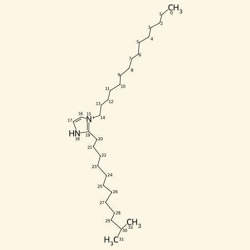 CCCCCCCCCCCCCCC[n+]1cc[nH]c1CCCCCCCCCCC(C)C